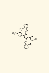 O=[N+]([O-])c1ccc(-c2cc(COc3ccccc3C(F)(F)F)c(C3=CCNCC3)cc2COc2ccccc2C(F)(F)F)cc1